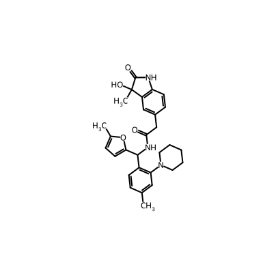 Cc1ccc(C(NC(=O)Cc2ccc3c(c2)C(C)(O)C(=O)N3)c2ccc(C)o2)c(N2CCCCC2)c1